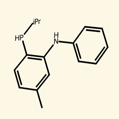 Cc1ccc(PC(C)C)c(Nc2ccccc2)c1